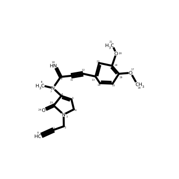 C#CCN1CC=C(N(C)C(=N)C#Cc2ccc(OC)c(OC)c2)C1=O